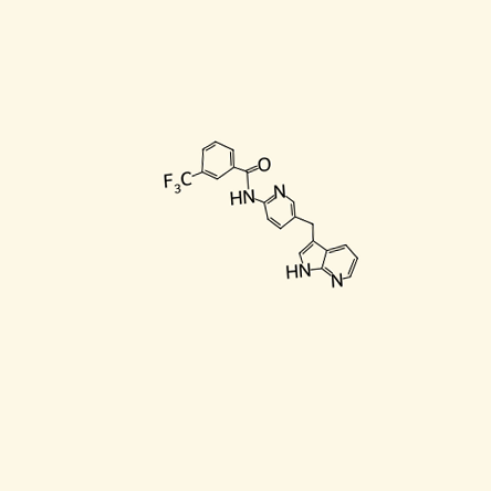 O=C(Nc1ccc(Cc2c[nH]c3ncccc23)cn1)c1cccc(C(F)(F)F)c1